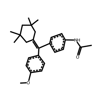 COc1ccc(C(=C2CC(C)(C)CC(C)(C)C2)c2ccc(NC(C)=O)cc2)cc1